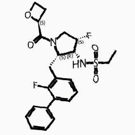 CCS(=O)(=O)N[C@H]1[C@@H](F)CN(C(=O)[C@@H]2CCO2)[C@H]1Cc1cccc(-c2ccccc2)c1F